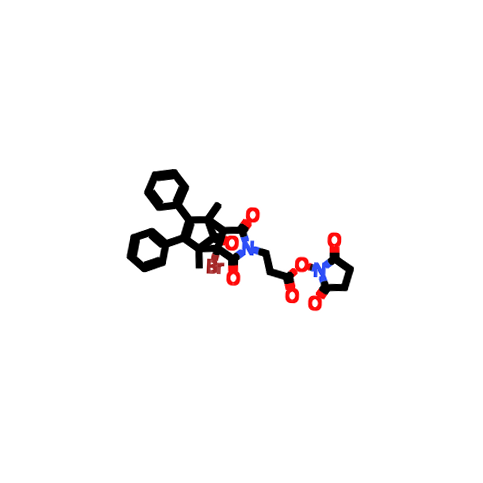 CC12C(=O)C(C)(C(c3ccccc3)=C1c1ccccc1)C1(Br)C(=O)N(CCC(=O)ON3C(=O)CCC3=O)C(=O)C21